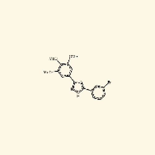 COc1cc(-c2cc(-c3cccc(Br)c3)[nH]n2)cc(OC)c1OC